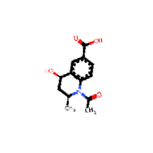 CC(=O)N1c2ccc(C(=O)O)cc2[C@H](O)C[C@@H]1C